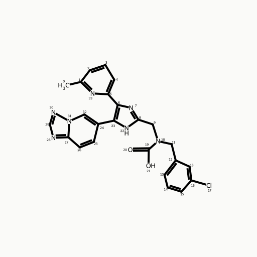 Cc1cccc(-c2nc(CN(Cc3cccc(Cl)c3)C(=O)O)[nH]c2-c2ccc3ncnn3c2)n1